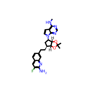 CNc1ncnc2c1ccn2[C@@H]1C[C@H](CCc2ccc3cc(F)c(N)nc3c2)[C@H]2OC(C)(C)O[C@H]21